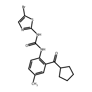 Cc1ccc(NC(=O)Nc2ncc(Br)s2)c(C(=O)C2CCCC2)c1